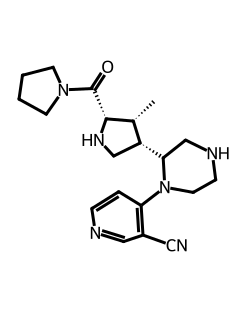 C[C@H]1[C@@H](C(=O)N2CCCC2)NC[C@H]1C1CNCCN1c1ccncc1C#N